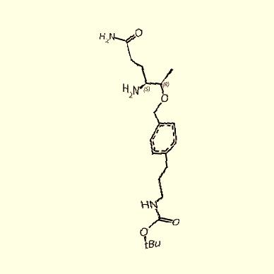 C[C@@H](OCc1ccc(CCCNC(=O)OC(C)(C)C)cc1)[C@@H](N)CCC(N)=O